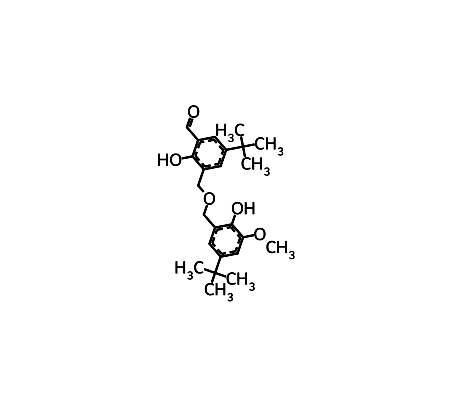 COc1cc(C(C)(C)C)cc(COCc2cc(C(C)(C)C)cc(C=O)c2O)c1O